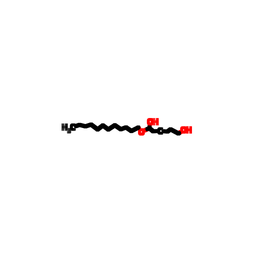 CCCCCCCCCCCCOC(O)CCCCCO